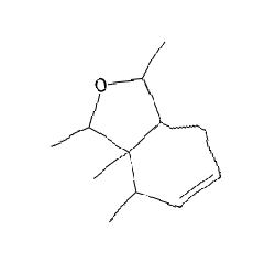 CC1OC(C)C2(C)C(C)C=CCC12